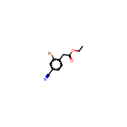 CCOC(=O)Cc1ccc(C#N)cc1Br